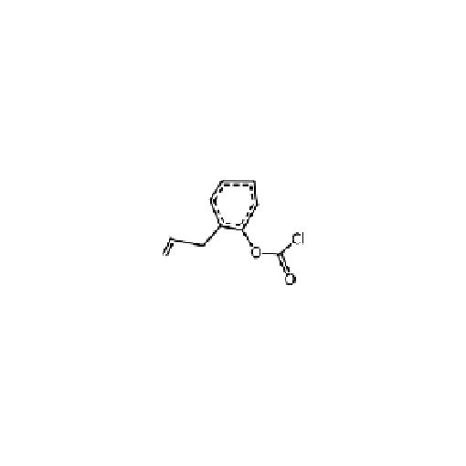 C=CCc1ccccc1OC(=O)Cl